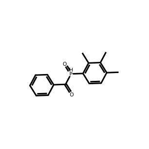 Cc1ccc([PH](=O)C(=O)c2ccccc2)c(C)c1C